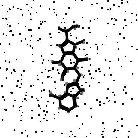 CNC(C)c1nc2c(c(=O)n(Cc3cc4c(Cl)cccc4[nH]3)c(=O)n2C)n1C